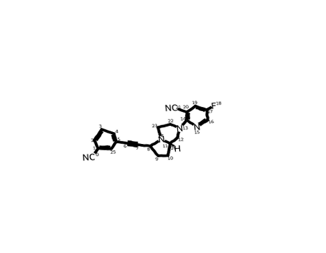 N#Cc1cccc(C#CC2CC[C@H]3CN(c4ncc(F)cc4C#N)CCN23)c1